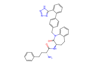 N[C@H](CCc1ccccc1)C(=O)N[C@@H]1CCc2ccccc2N(Cc2ccc(-c3ccccc3-c3nnn[nH]3)cc2)C1=O